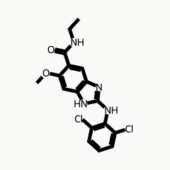 CCNC(=O)c1cc2nc(Nc3c(Cl)cccc3Cl)[nH]c2cc1OC